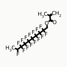 C=C(C)C(=O)OCC(F)(F)C(F)(F)C(F)(F)C(F)(F)C(F)(F)C(F)(F)C(F)(F)C(C)F